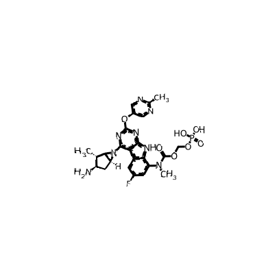 Cc1ncc(Oc2nc(N3C4[C@@H](C)[C@H](N)C[C@@H]43)c3c(n2)[nH]c2c(N(C)C(=O)OCOP(=O)(O)O)cc(F)cc23)cn1